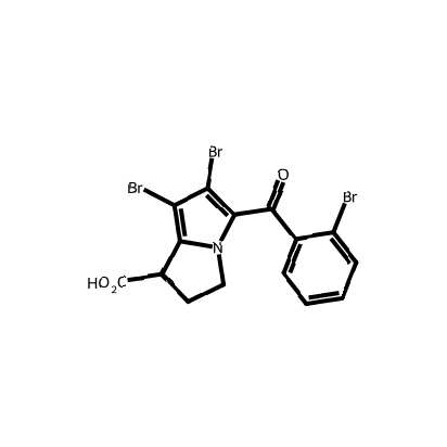 O=C(c1ccccc1Br)c1c(Br)c(Br)c2n1CCC2C(=O)O